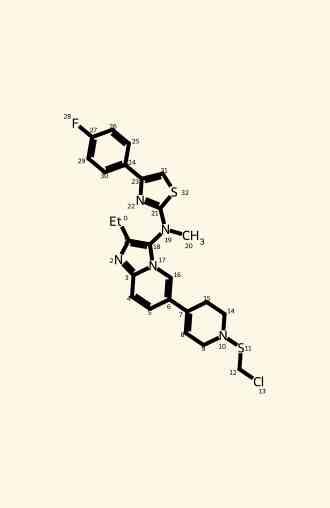 CCc1nc2ccc(C3=CCN(SCCl)CC3)cn2c1N(C)c1nc(-c2ccc(F)cc2)cs1